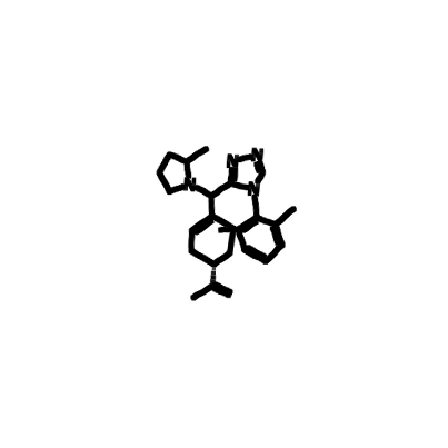 C=C(C)[C@@H]1CC=C(C(c2nncn2-c2c(C)cccc2C)N2CCCC2C)CC1